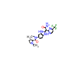 CCN(C(=O)[C@@H]1CCCN1C)c1ccc2c(c1)N/C(=C(\C(N)=O)c1nccc(C(F)(F)F)n1)N2